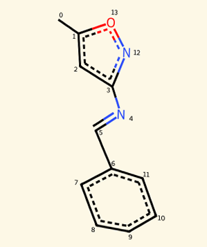 Cc1cc(N=Cc2ccccc2)no1